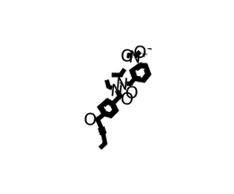 CCC#CC(=O)c1ccc(C(=O)N(CC)N(C(=O)c2cccc([N+](=O)[O-])c2)C(C)C)cc1